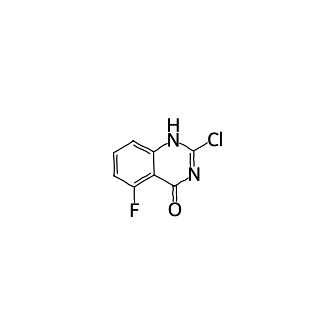 O=c1nc(Cl)[nH]c2cccc(F)c12